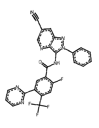 N#Cc1cnc2c(NC(=O)c3cc(-c4ncccn4)c(C(F)(F)F)cc3F)n(-c3ccccc3)nc2c1